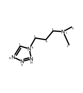 CN(C)CCCn1[c]nnn1